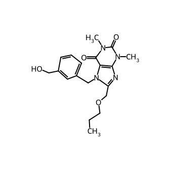 CCCOCc1nc2c(c(=O)n(C)c(=O)n2C)n1Cc1cccc(CO)c1